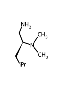 CC(C)C[C@@H](CN)N(C)C